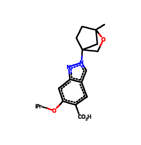 CC(C)Oc1cc2nn(C34CCC(C)(C3)OC4)cc2cc1C(=O)O